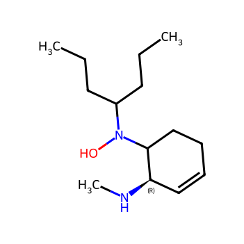 CCCC(CCC)N(O)C1CCC=C[C@H]1NC